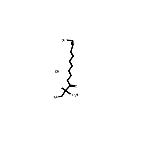 CCCCCCCC/C=C\CCCCCCCC(=O)C(C)(CN)S(=O)(=O)O.[KH]